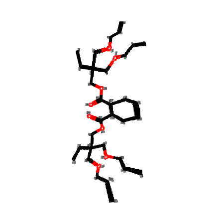 C=CCOCC(CC)(COCC=C)COC(=O)C1CC=CCC1C(=O)OCC(CC)(COCC=C)COCC=C